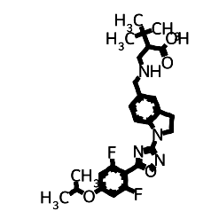 CC(C)Oc1cc(F)c(-c2nc(N3CCc4cc(CNCC(C(=O)O)C(C)(C)C)ccc43)no2)c(F)c1